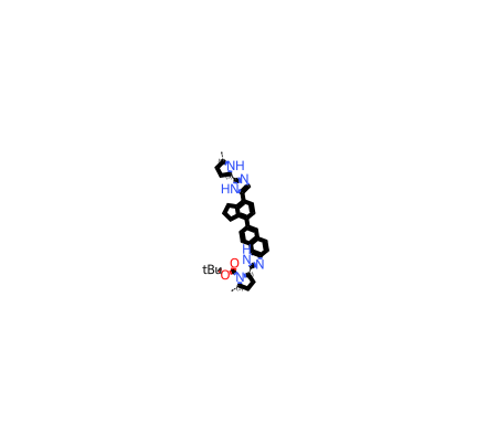 C[C@H]1CC[C@@H](c2ncc(-c3ccc(-c4ccc5c(ccc6nc([C@@H]7CC[C@H](C)N7C(=O)OC(C)(C)C)[nH]c65)c4)c4c3CCC4)[nH]2)N1